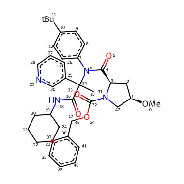 CO[C@@H]1C[C@H](C(=O)N(c2ccc(C(C)(C)C)cc2)C(C)(C(=O)NC2CCCCC2)c2cccnc2)N(C(=O)OCc2ccccc2)C1